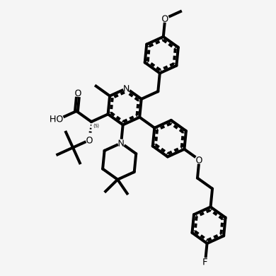 COc1ccc(Cc2nc(C)c([C@H](OC(C)(C)C)C(=O)O)c(N3CCC(C)(C)CC3)c2-c2ccc(OCCc3ccc(F)cc3)cc2)cc1